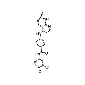 O=C(Nc1ccc(Cl)c(Cl)c1)c1ccc(Nc2ccnc3[nH]c(=O)ccc23)cc1